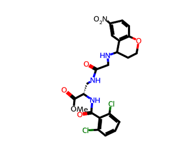 COC(=O)[C@H](CNC(=O)CNC1CCOc2ccc([N+](=O)[O-])cc21)NC(=O)c1c(Cl)cccc1Cl